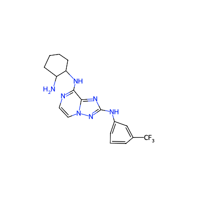 NC1CCCCC1Nc1nccn2nc(Nc3cccc(C(F)(F)F)c3)nc12